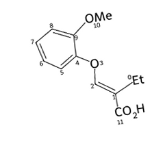 CC/C(=C\Oc1ccccc1OC)C(=O)O